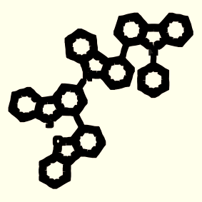 c1ccc(-n2c3ccccc3c3cccc(-c4cccc5c4c4ccccc4n5-c4cc(-c5cccc6c5oc5ccccc56)c5sc6ccccc6c5c4)c32)cc1